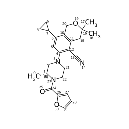 C[C@@H]1CN(c2cc(C3CC3)c3c(c2C#N)CC(C)(C)OC3)CCN1C(=O)c1ccco1